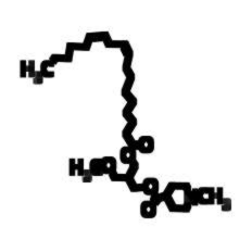 CCCCC/C=C\C/C=C\CCCCCCCC(=O)OCC(COC)COC(=O)C1CCN(C)CC1